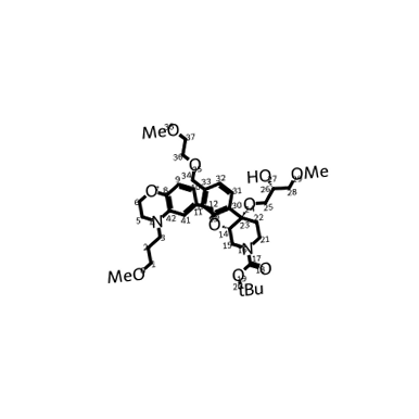 COCCCN1CCOc2ccc(CO[C@H]3CN(C(=O)OC(C)(C)C)CC[C@]3(OC[C@H](O)COC)c3ccc(COCCOC)cc3)cc21